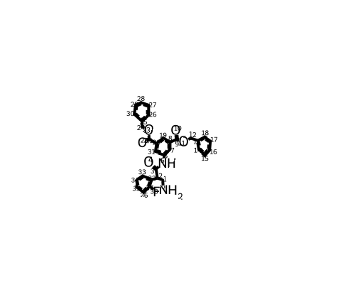 NCC(C(=O)Nc1cc(C(=O)OCc2ccccc2)cc(C(=O)OCc2ccccc2)c1)c1ccccc1F